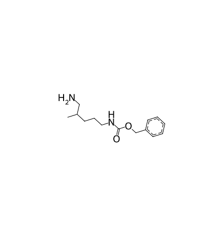 CC(CN)CCCNC(=O)OCc1ccccc1